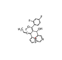 CC=C=C(/C(=C(\OI)c1ccc(F)cc1F)C(O)c1cccnc1)c1ccsc1